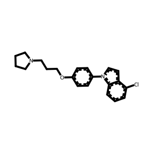 Clc1cccc2c1ccn2-c1ccc(OCCCN2CCCC2)cc1